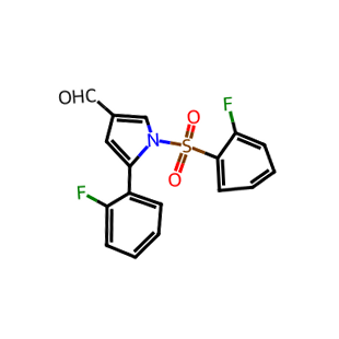 O=Cc1cc(-c2ccccc2F)n(S(=O)(=O)c2ccccc2F)c1